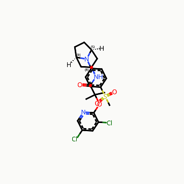 CC(C)(Oc1ncc(Cl)cc1Cl)C(=O)N[C@H]1C[C@H]2CC[C@@H](C1)N2c1ccc(S(C)(=O)=O)cc1